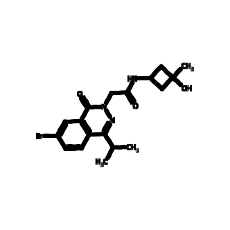 CC(C)c1nn(CC(=O)NC2CC(C)(O)C2)c(=O)c2cc(Br)ccc12